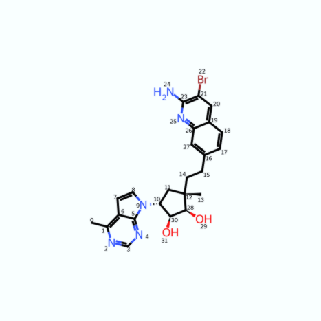 Cc1ncnc2c1ccn2[C@@H]1C[C@](C)(CCc2ccc3cc(Br)c(N)nc3c2)[C@@H](O)[C@H]1O